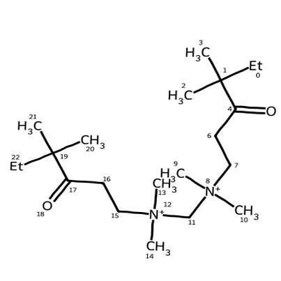 CCC(C)(C)C(=O)CC[N+](C)(C)C[N+](C)(C)CCC(=O)C(C)(C)CC